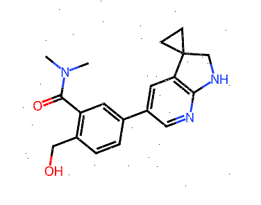 CN(C)C(=O)c1cc(-c2cnc3c(c2)C2(CC2)CN3)ccc1CO